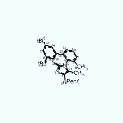 CCCCCc1sc(=S)n(-c2c(C)cccc2-c2cc(C(C)(C)C)cc(C(C)(C)C)c2)c1C